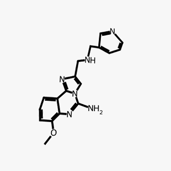 COc1cccc2c1nc(N)n1cc(CNCc3cccnc3)nc21